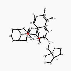 CC(C)(C)OC(=O)N1C2CCCC1CN(c1nc(OCC34CCCN3CCC4)nc3c(F)c(Cl)ncc13)C2